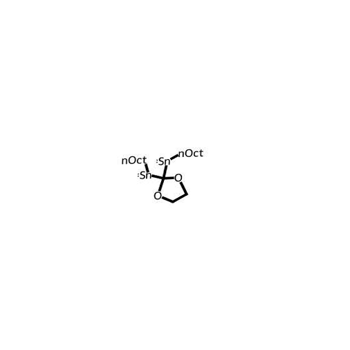 CCCCCCC[CH2][Sn][C]1([Sn][CH2]CCCCCCC)OCCO1